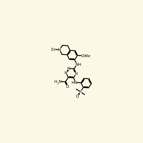 CCN1CCc2cc(OC)c(Nc3nnc(C(N)=O)c(Nc4ccccc4P(C)(C)=O)n3)cc2C1